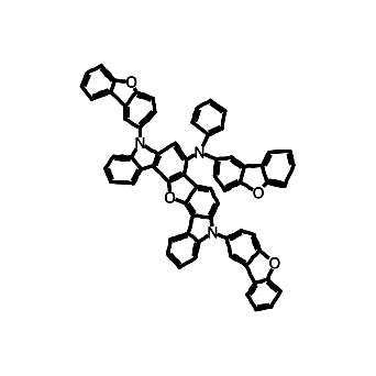 c1ccc(N(c2ccc3oc4ccccc4c3c2)c2cc3c(c4ccccc4n3-c3ccc4oc5ccccc5c4c3)c3oc4c(ccc5c4c4ccccc4n5-c4ccc5oc6ccccc6c5c4)c23)cc1